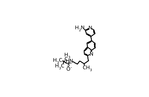 CC(CCN[S+]([O-])C(C)(C)C)Cc1ccc2cc(-c3ccnc(N)c3)ccc2n1